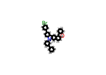 Brc1ccc(-c2ccc3c(c2)c2cc4c(ccc5oc6ccccc6c54)cc2n3-c2cccc(-c3ccccc3)c2)cc1